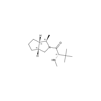 CN[C@H](C(=O)N1C[C@@H]2CCC[C@@H]2[C@H]1C)C(C)(C)C